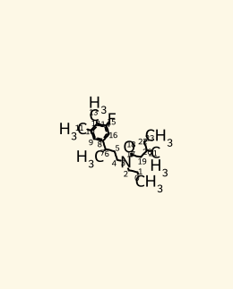 CCCN(CCC(C)c1cc(C)c(C)c(F)c1)C(=O)CC(C)CC